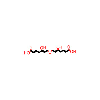 O=C(O)C=CCC(O)=CCOCC=C(O)CC=CC(=O)O